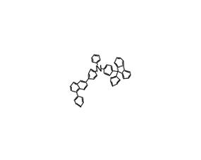 c1ccc(-c2cccc3cc(-c4ccc(N(c5ccccc5)c5ccc(C6(c7ccccc7)c7ccccc7-c7ccccc76)cc5)cc4)ccc23)cc1